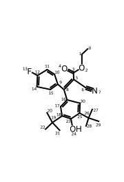 CCOC(=O)C(C#N)=C(c1ccc(F)cc1)c1cc(C(C)(C)C)c(O)c(C(C)(C)C)c1